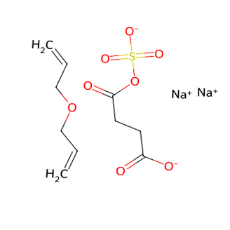 C=CCOCC=C.O=C([O-])CCC(=O)OS(=O)(=O)[O-].[Na+].[Na+]